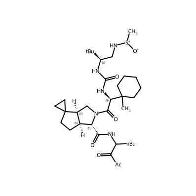 CCCCC(NC(=O)[C@@H]1[C@H]2CCC3(CC3)[C@H]2CN1C(=O)[C@@H](NC(=O)N[C@H](CN[S+](C)[O-])C(C)(C)C)C1(C)CCCCC1)C(=O)C(C)=O